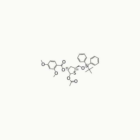 COc1ccc(C(=O)O[C@@H]2C[C@@H](CO[Si](c3ccccc3)(c3ccccc3)C(C)(C)C)SC2OC(C)=O)c(OC)c1